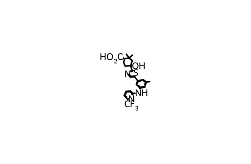 Cc1cc(Nc2cccc(C(F)(F)F)n2)cc(-c2cnc(C3(O)CCC(C(=O)O)C(C)(C)C3)s2)c1